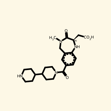 CN1Cc2cc(C(=O)N3CCC(C4CCNCC4)CC3)ccc2N[C@H](CC(=O)O)C1=O